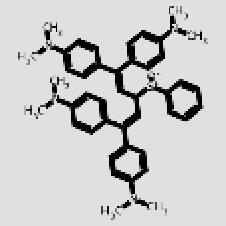 CN(C)c1ccc(C(=CC(C=C(c2ccc(N(C)C)cc2)c2ccc(N(C)C)cc2)[S+]([O-])c2ccccc2)c2ccc(N(C)C)cc2)cc1